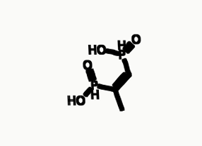 CC(=C[PH](=O)O)[PH](=O)O